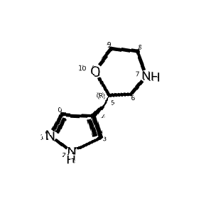 c1n[nH]cc1[C@@H]1CNCCO1